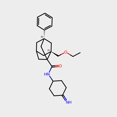 CCOC[C@]12CC3CC1(C(=O)NC1CCC(=N)CC1)C[C@@](c1ccccc1)(C3)C2